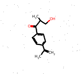 C=C(C)c1ccc(C(=O)C(C)CO)cc1